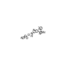 Cc1cccc(-c2[nH]cnc2-c2ccc3ncc(NC[C@H]4C[C@@H](C(=O)O[C@@H]5CCN(C)C5)C4)cc3c2)n1